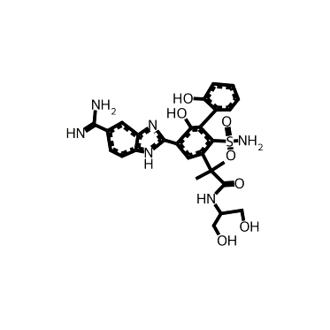 CC(C)(C(=O)NC(CO)CO)c1cc(-c2nc3cc(C(=N)N)ccc3[nH]2)c(O)c(-c2ccccc2O)c1S(N)(=O)=O